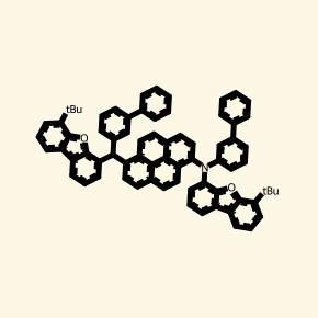 CC(C)(C)c1cccc2c1oc1c(C(c3cccc(-c4ccccc4)c3)c3ccc4ccc5c(N(c6cccc(-c7ccccc7)c6)c6cccc7c6oc6c(C(C)(C)C)cccc67)ccc6ccc3c4c65)cccc12